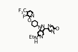 CCNc1cc2c(cn1)c(-c1cn(C)c(=O)cn1)nn2[C@H]1CC[C@@H](Oc2nccc(C(F)(F)F)c2F)CC1